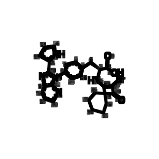 O=C(O)[C@H](Cc1ccc(-n2c(-c3ccc[nH]3)nc3cccnc32)cc1)NC1=C(Br)C(=O)C12CCCCC2